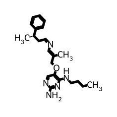 CCCCNc1nc(N)ncc1OC/C(C)=C/N=C\C[C@H](C)c1ccccc1